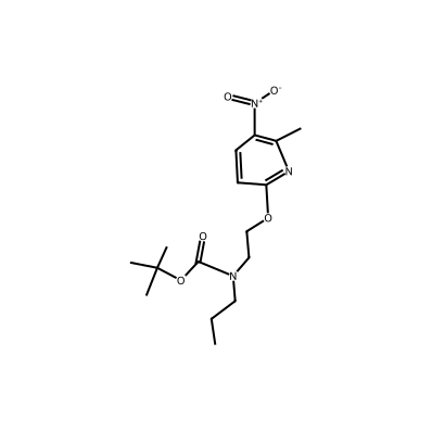 CCCN(CCOc1ccc([N+](=O)[O-])c(C)n1)C(=O)OC(C)(C)C